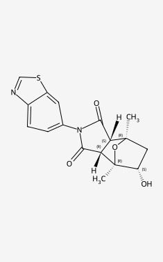 C[C@]12O[C@](C)(C[C@@H]1O)[C@H]1C(=O)N(c3ccc4ncsc4c3)C(=O)[C@H]12